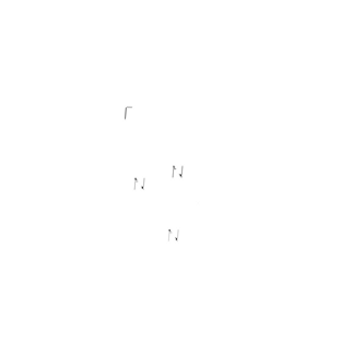 CC(C)c1ncn(-c2ccccc2F)n1